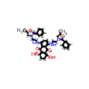 CC1CN(CCNc2ccc(NCCN3CC(C)OC3c3ccccc3)c3c2C(=O)c2c(O)ccc(O)c2C3=O)C(c2ccccc2)O1